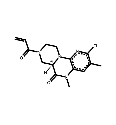 C=CC(=O)N1CCN2c3nc(Cl)c(C)cc3N(C)C(=O)[C@H]2C1